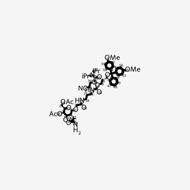 COc1ccc(C(OC[C@H](COC(=O)NCCCNC(=O)CO[C@@H]2O[C@H](COC(C)=O)[C@H](OC(C)=O)[C@H](OC(C)=O)[C@H]2CC(N)=O)OP(OCCC#N)N(C(C)C)C(C)C)(c2ccccc2)c2ccc(OC)cc2)cc1